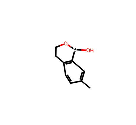 Cc1ccc2c(c1)B(O)OCC2